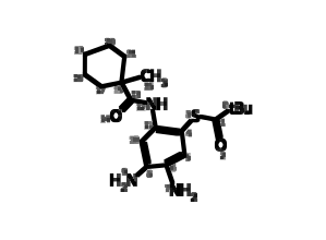 CC(C)(C)C(=O)Sc1cc(N)c(N)cc1NC(=O)C1(C)CCCCC1